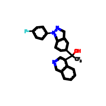 OC(c1ccc2c(cnn2-c2ccc(F)cc2)c1)(c1cncc2ccccc12)C(F)(F)F